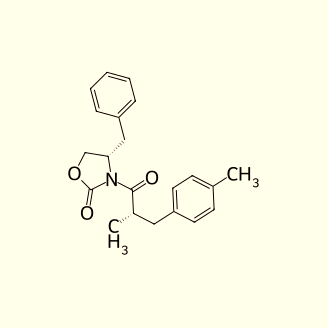 Cc1ccc(C[C@H](C)C(=O)N2C(=O)OC[C@@H]2Cc2ccccc2)cc1